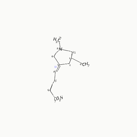 CC1C/C(=C\CCC(=O)O)CN(C)C1